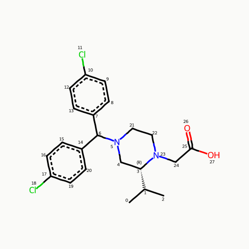 CC(C)[C@@H]1CN(C(c2ccc(Cl)cc2)c2ccc(Cl)cc2)CCN1CC(=O)O